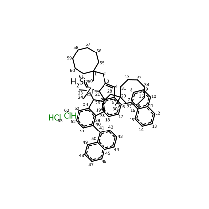 CC1(CC2=Cc3c(-c4cccc5ccccc45)cccc3[CH]2[Zr]([CH3])([CH3])(=[SiH2])[CH]2C(CC3(C)CCCCCCC3)=Cc3c(-c4cccc5ccccc45)cccc32)CCCCCCC1.Cl.Cl